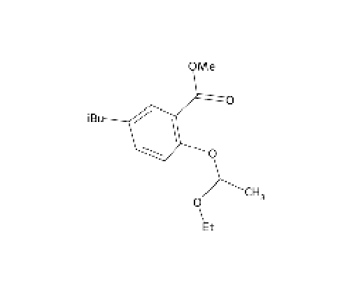 CCOC(C)Oc1ccc(C(C)CC)cc1C(=O)OC